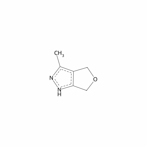 Cc1n[nH]c2c1COC2